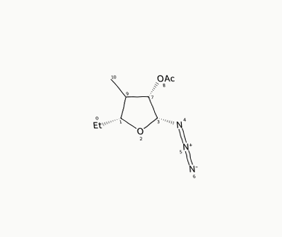 CC[C@H]1O[C@@H](N=[N+]=[N-])[C@@H](OC(C)=O)C1C